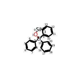 [SiH3][O][Zr]([c]1ccccc1)([c]1ccccc1)[c]1ccccc1